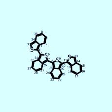 c1ccc2c(-c3sc(-c4sc(-c5scc6ccccc56)c5ccccc45)c4ccccc34)scc2c1